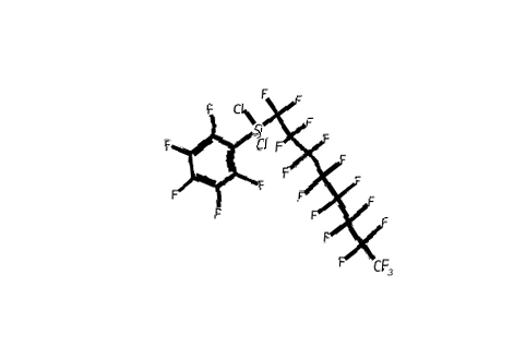 Fc1c(F)c(F)c([Si](Cl)(Cl)C(F)(F)C(F)(F)C(F)(F)C(F)(F)C(F)(F)C(F)(F)C(F)(F)C(F)(F)F)c(F)c1F